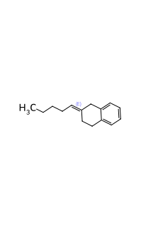 CCCC/C=C1\CCc2ccccc2C1